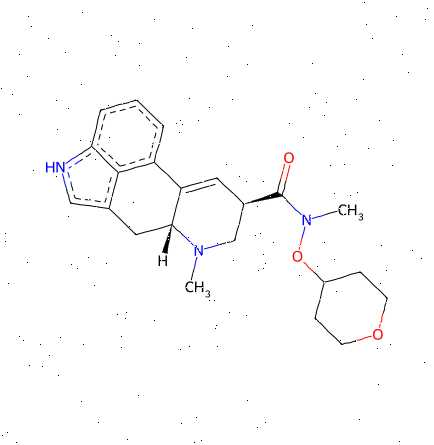 CN(OC1CCOCC1)C(=O)[C@@H]1C=C2c3cccc4[nH]cc(c34)C[C@H]2N(C)C1